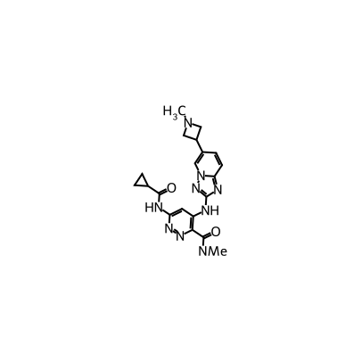 CNC(=O)c1nnc(NC(=O)C2CC2)cc1Nc1nc2ccc(C3CN(C)C3)cn2n1